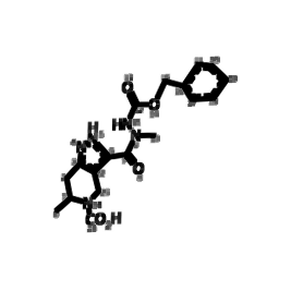 CC1Cc2n[nH]c(C(=O)N(C)NC(=O)OCc3ccccc3)c2CN1C(=O)O